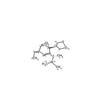 C=C(/C(=N\C(=C/C)C(C)C)[C@H](C)N(C)C)[C@H]1CCOC1